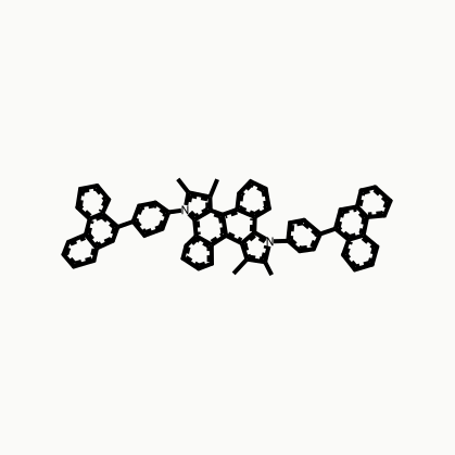 Cc1c(C)n(-c2ccc(-c3cc4ccccc4c4ccccc34)cc2)c2c3ccccc3c3c4c(C)c(C)n(-c5ccc(-c6cc7ccccc7c7ccccc67)cc5)c4c4ccccc4c3c12